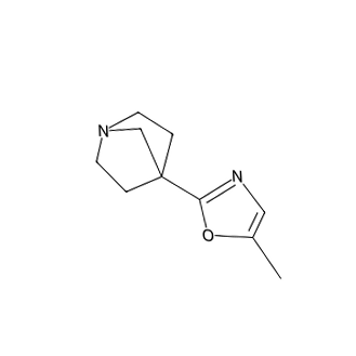 Cc1cnc(C23CCN(CC2)C3)o1